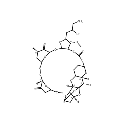 C=C1C2CC3OC(CC(O)CN)[C@H](OC)C3CC(=O)CC3CCC4O[C@@H]5C6O[C@@H]7C[C@@](CCC8CC(=C)[C@H](CCC(C[C@H]1C)O2)O8)(OC57)O[C@H]6[C@H]4O3